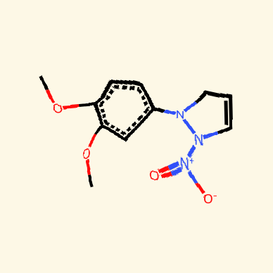 COc1ccc(N2CC=CN2[N+](=O)[O-])cc1OC